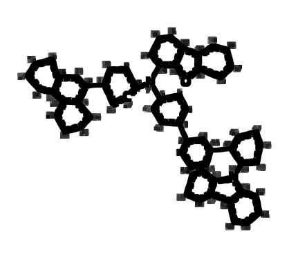 c1cc(-c2ccc(N(c3ccc(-c4cc5ccccc5c5ccccc45)cc3)c3cccc4c3oc3ccccc34)cc2)cc(-c2ccccc2-n2c3ccccc3c3ccccc32)c1